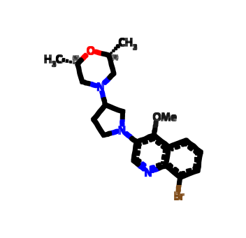 COc1c(N2CCC(N3C[C@@H](C)O[C@@H](C)C3)C2)cnc2c(Br)cccc12